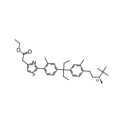 CCOC(=O)Cc1csc(-c2ccc(C(CC)(CC)c3ccc(CC[C@H](C)C(C)(C)C)c(C)c3)cc2C)n1